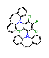 Fc1c(Cl)c(N2c3ccccc3C=Cc3ccccc32)c(Cl)c(N2c3ccccc3C=Cc3ccccc32)c1Cl